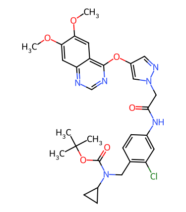 COc1cc2ncnc(Oc3cnn(CC(=O)Nc4ccc(CN(C(=O)OC(C)(C)C)C5CC5)c(Cl)c4)c3)c2cc1OC